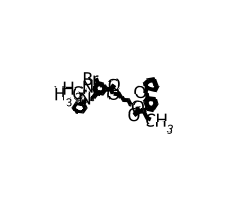 CCC(C(=O)OCCCCOC(=O)c1cc(Br)c(N)c(CN(CC)C2CCCCC2)c1)c1cccc(C(=O)c2ccccc2)c1